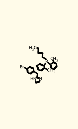 Brc1ccc(Cc2ncc[nH]2)cc1.CCC=CCCB(c1ccccc1C)c1ccccc1C